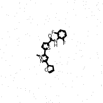 Cn1nc(C2CC=CO2)cc1-c1ccc(C(=O)Nc2c(F)cccc2F)s1